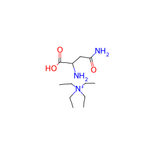 CC[N+](CC)(CC)CC.NC(=O)CC(N)C(=O)O